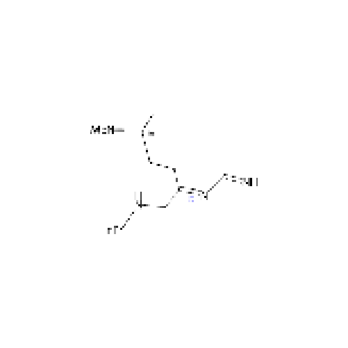 CCCNC/C(CC[C@@H](C)NC)=N/C=N